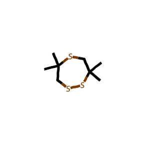 CC1(C)CSSC(C)(C)CS1